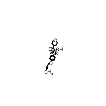 CC#CCOc1ccc(S(=O)(=O)N(O)C(=O)C2CCOCC2)cc1